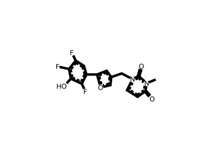 Cn1c(=O)ccn(Cc2coc(-c3cc(F)c(F)c(O)c3F)c2)c1=O